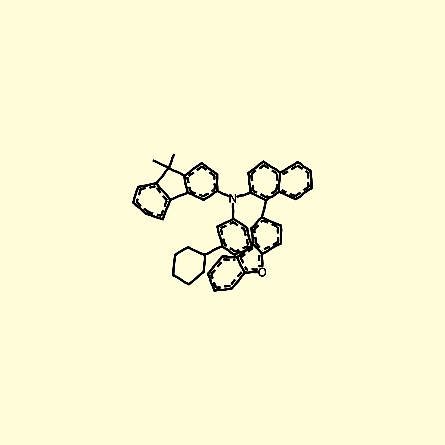 CC1(C)c2ccccc2-c2cc(N(c3cccc(C4CCCCC4)c3)c3ccc4ccccc4c3-c3ccc4oc5ccccc5c4c3)ccc21